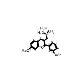 COc1ccc(CC(CN(C)C)C(=O)c2cccc(OC)c2)cc1.Cl